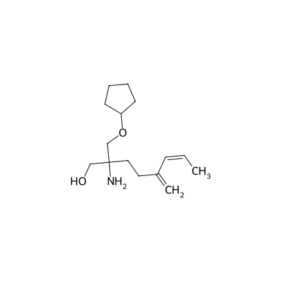 C=C(/C=C\C)CCC(N)(CO)COC1CCCC1